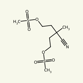 CC(C#N)(CCOS(C)(=O)=O)CCOS(C)(=O)=O